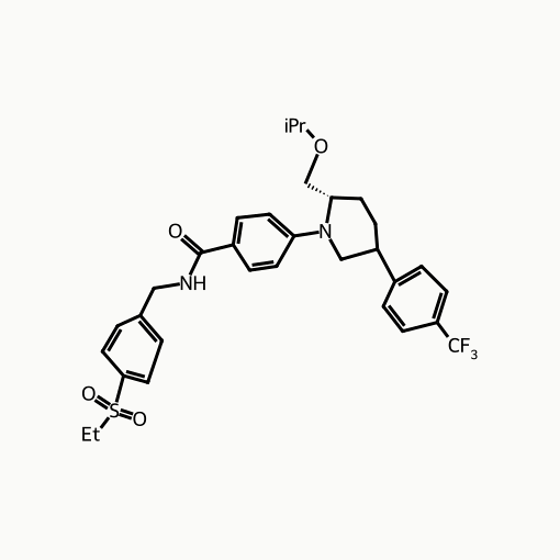 CCS(=O)(=O)c1ccc(CNC(=O)c2ccc(N3CC(c4ccc(C(F)(F)F)cc4)CC[C@H]3COC(C)C)cc2)cc1